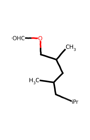 CC(C)CC(C)CC(C)CO[C]=O